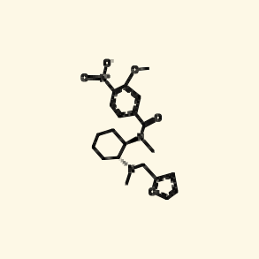 COc1cc(C(=O)N(C)[C@@H]2CCCC[C@H]2N(C)Cc2ccco2)ccc1[N+](=O)[O-]